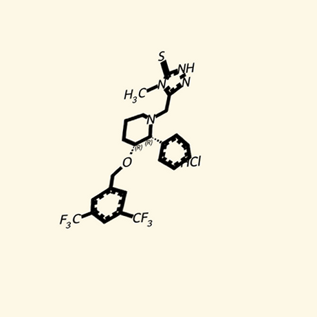 Cl.Cn1c(CN2CCC[C@@H](OCc3cc(C(F)(F)F)cc(C(F)(F)F)c3)[C@H]2c2ccccc2)n[nH]c1=S